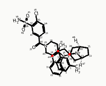 Cc1cccc(C2(CCN3[C@@H]4CC[C@H]3C[C@@H](n3c(C)nc5ccccc53)C4)CCN(C(=O)c3ccc(Cl)c(S(N)(=O)=O)c3)CC2)c1